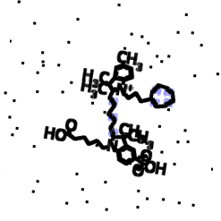 Cc1ccc2c(c1)C(C)(C)C(/C=C/C=C/C=C1/N(CCCCCC(=O)O)c3ccc(S(=O)(=O)O)cc3C1(C)C)=[N+]2CCCC1=C/C=C\C=C/C=C\1